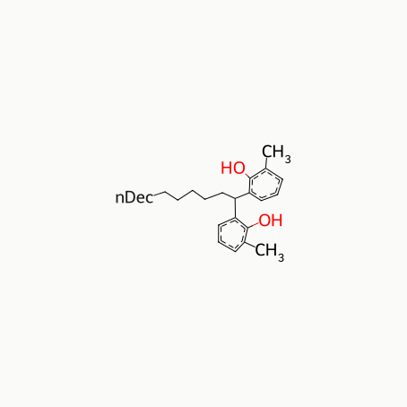 CCCCCCCCCCCCCCCC(c1cccc(C)c1O)c1cccc(C)c1O